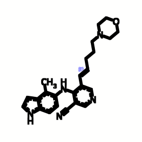 Cc1c(Nc2c(C#N)cncc2/C=C/CCCN2CCOCC2)ccc2[nH]ccc12